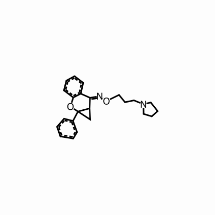 c1ccc(C23CC2C(=NOCCCN2CCCC2)c2ccccc2O3)cc1